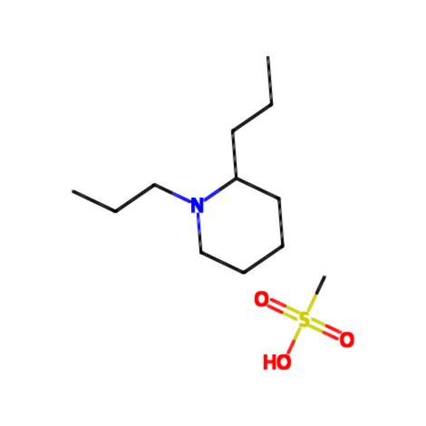 CCCC1CCCCN1CCC.CS(=O)(=O)O